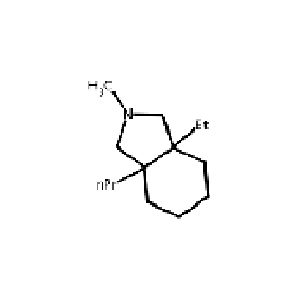 CCCC12CCCCC1(CC)CN(C)C2